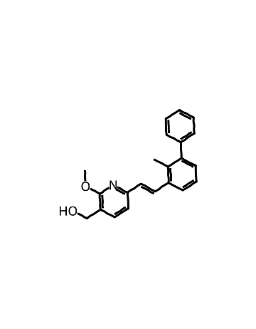 COc1nc(/C=C/c2cccc(-c3ccccc3)c2C)ccc1CO